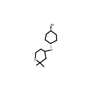 CC(C)[C@H]1CC[C@H](OC2CCOC(C)(C)C2)CC1